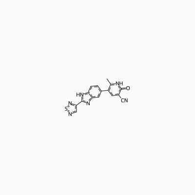 Cc1[nH]c(=O)c(C#N)cc1-c1ccc2[nH]c(-c3cnsn3)nc2c1